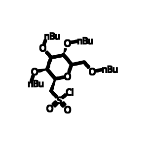 CCCCOCC1O[C@@H](CS(=O)(=O)Cl)[C@@H](OCCCC)C(OCCCC)[C@@H]1OCCCC